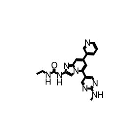 CCNC(=O)Nc1cn2c(-c3cnc(NC)nc3)cc(-c3cccnc3)cc2n1